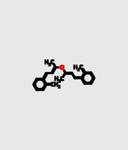 C=c1cccc/c1=C/C=C(\C)O/C(C)=C/C=c1/ccccc1=C